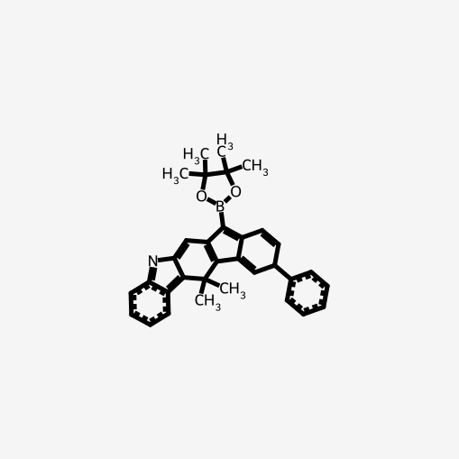 CC1(C)C2=C(C=C3N=c4ccccc4=C31)C(B1OC(C)(C)C(C)(C)O1)=C1C=CC(c3ccccc3)C=C12